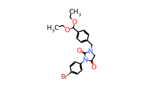 CCOC(OCC)c1ccc(CN2CC(=O)N(c3ccc(Br)cc3)C2=O)cc1